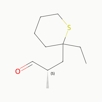 CCC1(C[C@H](C)C=O)CCCCS1